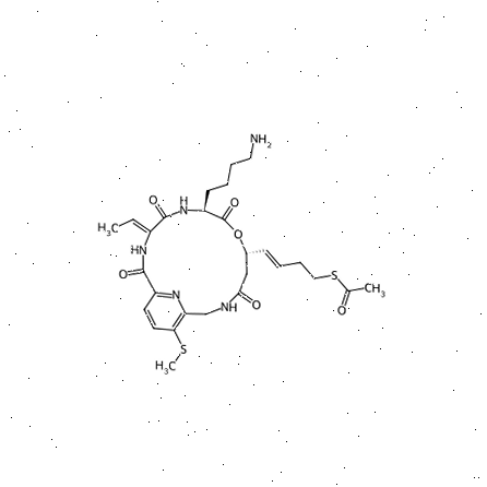 C/C=C1\NC(=O)c2ccc(SC)c(n2)CNC(=O)C[C@@H](/C=C/CCSC(C)=O)OC(=O)[C@H](CCCCN)NC1=O